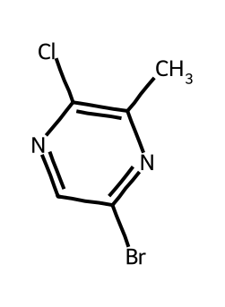 Cc1nc(Br)cnc1Cl